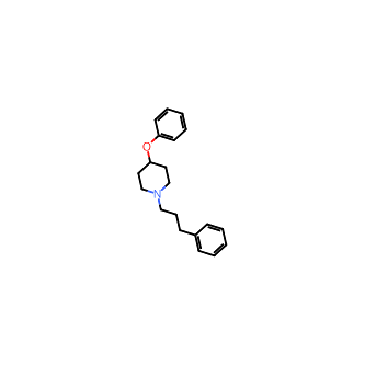 c1ccc(CCCN2CCC(Oc3ccccc3)CC2)cc1